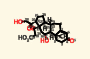 C[C@]12CCC(=O)C=C1CC[C@@H]1[C@@H]2[C@@H](O)C[C@]2(C(=O)CC(=O)O)[C@@H](C(=O)CO)CC[C@@H]12